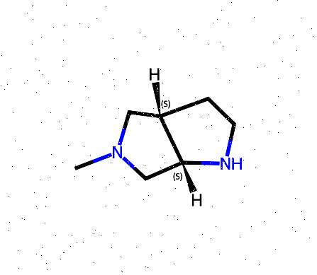 CN1C[C@@H]2CCN[C@@H]2C1